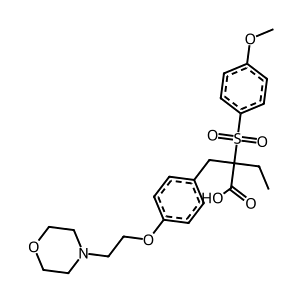 CCC(Cc1ccc(OCCN2CCOCC2)cc1)(C(=O)O)S(=O)(=O)c1ccc(OC)cc1